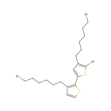 BrCCCCCCc1cc(-c2sccc2CCCCCCBr)sc1Br